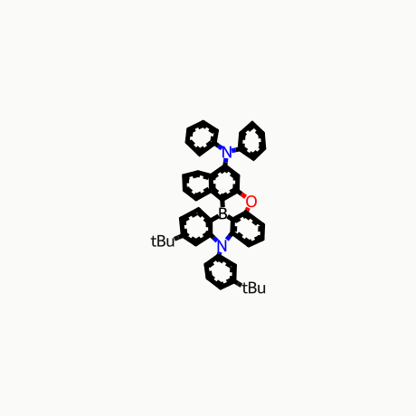 CC(C)(C)c1cccc(N2c3cc(C(C)(C)C)ccc3B3c4c(cccc42)Oc2cc(N(c4ccccc4)c4ccccc4)c4ccccc4c23)c1